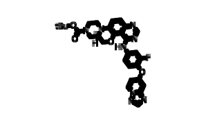 CC(C)(C)OC(=O)N1CCN2c3ccc4ncnc(Nc5ccc(Oc6ccn7ncnc7c6)c(F)c5)c4c3OC[C@H]2C1